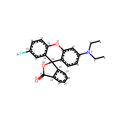 CCN(CC)c1ccc2c(c1)Oc1ccc(F)cc1C21OC(=O)c2ccccc21